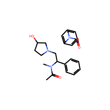 CC(=O)N(C)C(CN1CCC(O)C1)c1ccccc1.O=CN1c2cccc1c2